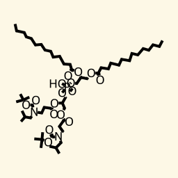 CCCCCCCCCCCCCC(=O)OCC(COP(=O)(O)OCC(COC(=O)CCN(CC(C)C)C(=O)OC(C)(C)C)OC(=O)CCN(CC(C)C)C(=O)OC(C)(C)C)OC(=O)CCCCCCCCCCCCC